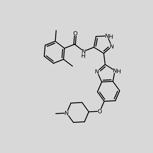 Cc1cccc(C)c1C(=O)Nc1c[nH]nc1-c1nc2cc(OC3CCN(C)CC3)ccc2[nH]1